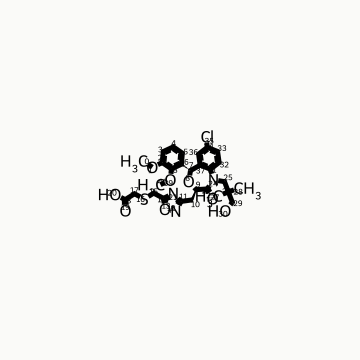 COc1cccc([C@H]2O[C@H](Cc3noc(CSCC(=O)O)n3)C(=O)N(CC(C)(C)CO)c3ccc(Cl)cc32)c1OC